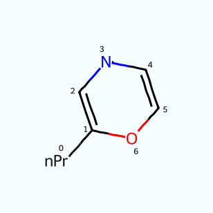 CCCC1=C[N]C=CO1